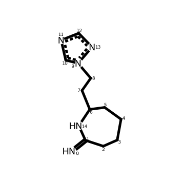 N=C1CCCCC(CCn2cncn2)N1